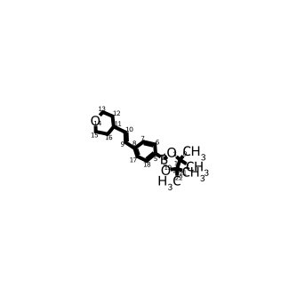 CC1(C)OB(c2ccc(C=CC3CCOCC3)cc2)OC1(C)C